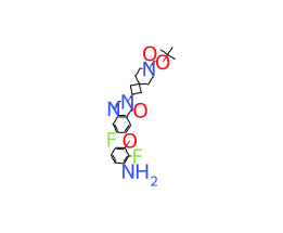 CC(C)(C)OC(=O)N1CCC2(CC1)CC(n1cnc3ccc(Oc4c(F)ccc(N)c4F)cc3c1=O)C2